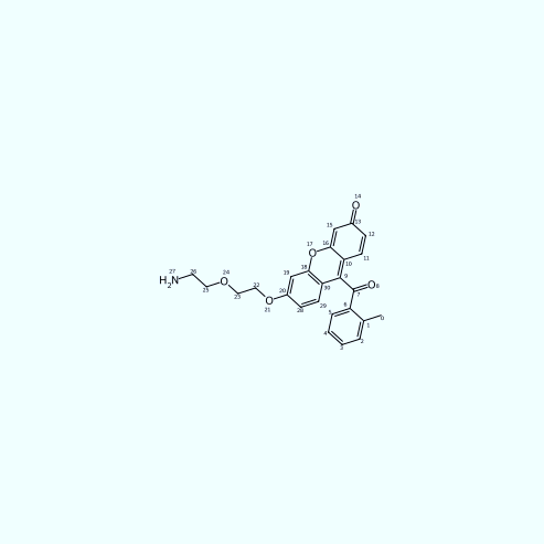 Cc1ccccc1C(=O)c1c2ccc(=O)cc-2oc2cc(OCCOCCN)ccc12